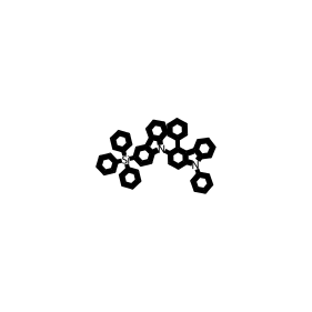 c1ccc(-c2c(-n3c4ccccc4c4cc([Si](c5ccccc5)(c5ccccc5)c5ccccc5)ccc43)ccc3c2c2ccccc2n3-c2ccccc2)cc1